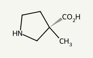 C[C@]1(C(=O)O)CCNC1